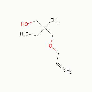 C=CCOCC(C)(CC)CO